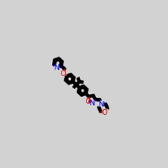 CC(C)C(C)(c1ccc(OCc2ccccn2)cc1)c1ccc(C2CC(CN3CCOCC3)=NO2)cc1